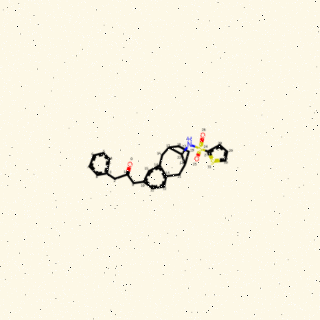 O=C(Cc1ccccc1)Cc1ccc2c(c1)CC1CCC(C2)C1NS(=O)(=O)c1cccs1